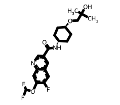 CC(C)(O)CO[C@H]1CC[C@H](NC(=O)c2cnc3cc(OC(F)F)c(F)cc3c2)CC1